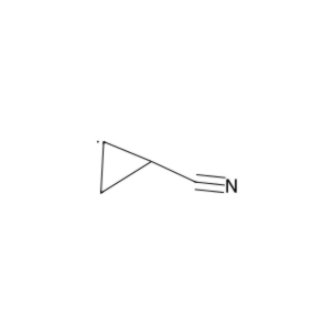 N#CC1[CH]C1